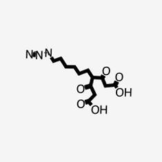 [N-]=[N+]=NCCCCCCC(C(=O)CC(=O)O)C(=O)CC(=O)O